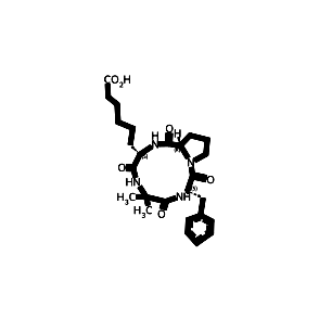 CC1(C)NC(=O)[C@H](CCCCCC(=O)O)NC(=O)[C@H]2CCCN2C(=O)[C@H](Cc2ccccc2)NC1=O